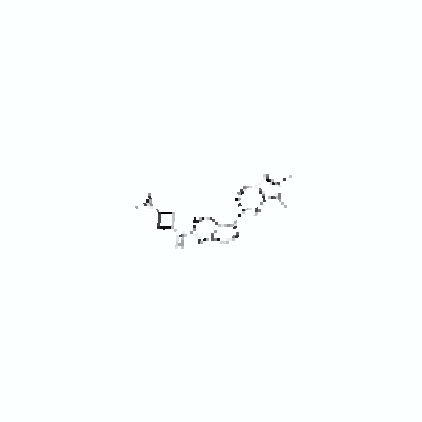 Cc1nc2ccc(-c3ccn4nc(N[C@H]5C[C@@H](N(C)C)C5)ncc34)nc2n1C